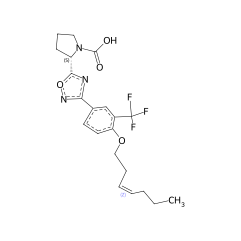 CCC/C=C\CCOc1ccc(-c2noc([C@@H]3CCCN3C(=O)O)n2)cc1C(F)(F)F